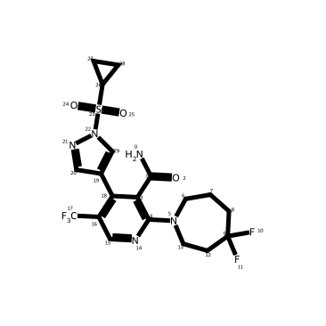 NC(=O)c1c(N2CCCC(F)(F)CC2)ncc(C(F)(F)F)c1-c1cnn(S(=O)(=O)C2CC2)c1